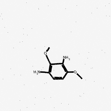 COc1ccc(N)c(OC)c1N